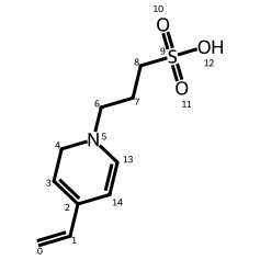 C=CC1=CCN(CCCS(=O)(=O)O)C=C1